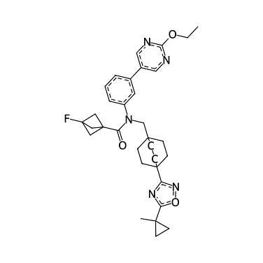 CCOc1ncc(-c2cccc(N(CC34CCC(c5noc(C6(C)CC6)n5)(CC3)CC4)C(=O)C34CC(F)(C3)C4)c2)cn1